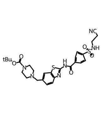 CC(C)(C)OC(=O)N1CCN(Cc2ccc3nc(NC(=O)c4ccc(S(=O)(=O)NCCC#N)cc4)sc3c2)CC1